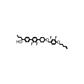 C=CCCCOc1ccc(COC2CCC(c3ccc(-c4ccc(C(O)CCC)cc4)c(F)c3F)CC2)c(F)c1F